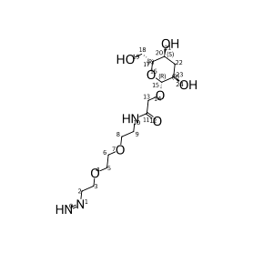 N=NCCOCCOCCNC(=O)CO[C@@H]1O[C@H](CO)[C@@H](O)C[C@H]1O